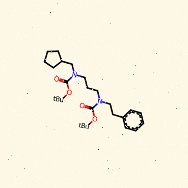 CC(C)(C)OC(=O)N(CCCN(CC1CCCC1)C(=O)OC(C)(C)C)CCc1ccccc1